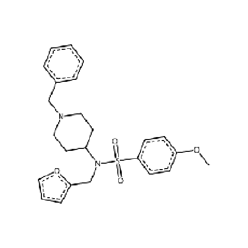 COc1ccc(S(=O)(=O)N(Cc2ccco2)C2CCN(Cc3ccccc3)CC2)cc1